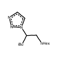 CCCCCCCC(C(C)CC)n1ccnn1